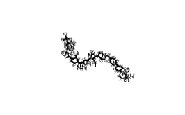 Cc1cc(-c2ncnc3[nH]c(-c4nn(C)c(C5=CCN(CC6CCN(c7ccc(N8CCC(=O)NC8=O)cc7)CC6)CC5)c4C)cc23)ccc1C(C)NC(=O)c1nc(C(C)(C)C)no1